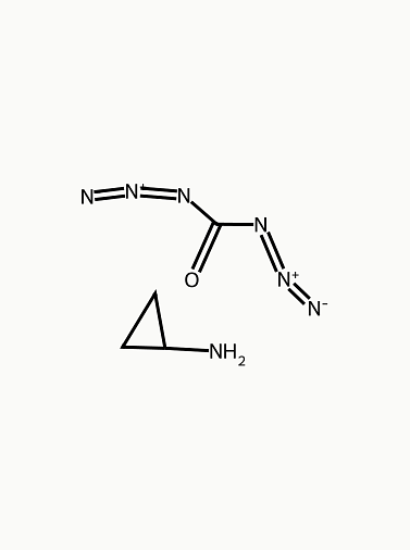 NC1CC1.[N-]=[N+]=NC(=O)N=[N+]=[N-]